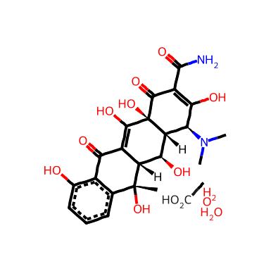 CC(=O)O.CN(C)[C@@H]1C(O)=C(C(N)=O)C(=O)[C@@]2(O)C(O)=C3C(=O)c4c(O)cccc4[C@@](C)(O)[C@H]3[C@H](O)[C@@H]12.O.O